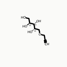 C#CCOC[C@H](O)[C@@H](O)[C@@H](O)CO